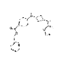 CC(C)(C)OC(=O)NC1CC(NC2CCN(C(=O)OCc3ccccc3)CC2)C1